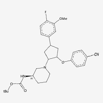 COc1cc(C2CC(Oc3ccc(C#N)cc3)C(N3CCC[C@@H](NC(=O)OC(C)(C)C)C3)C2)ccc1F